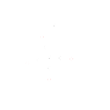 O=[C]=[V](=[C]=O)(=[C]=O)=[C]=O.[V][C]1=CC=CC1